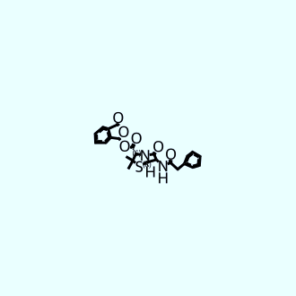 CC1(C)S[C@@H]2C(NC(=O)Cc3ccccc3)C(=O)N2[C@H]1C(=O)OC1OC(=O)c2ccccc21